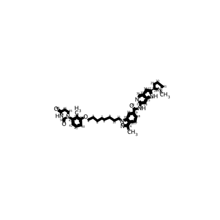 Cc1c(OCCCCCCCCn2nc(C)c3ccc(C(=O)Nc4cc5[nH]c([C@H]6CCCN6C)cc5cn4)cc32)cccc1N1CCC(=O)NC1=O